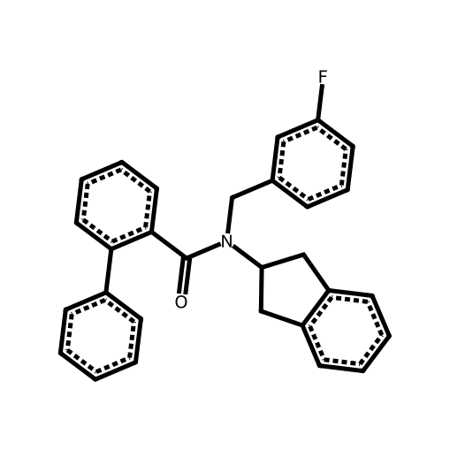 O=C(c1ccccc1-c1ccccc1)N(Cc1cccc(F)c1)C1Cc2ccccc2C1